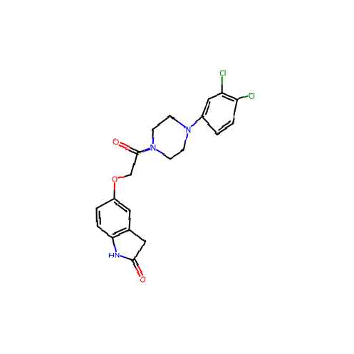 O=C1Cc2cc(OCC(=O)N3CCN(c4ccc(Cl)c(Cl)c4)CC3)ccc2N1